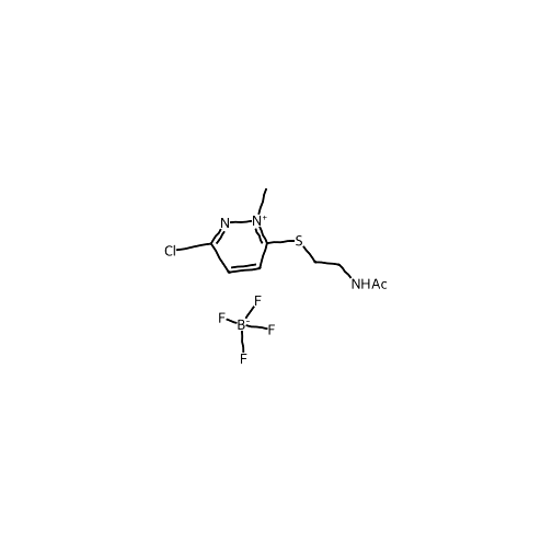 CC(=O)NCCSc1ccc(Cl)n[n+]1C.F[B-](F)(F)F